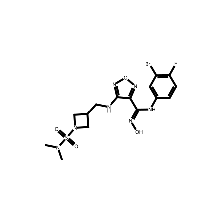 CN(C)S(=O)(=O)N1CC(CNc2nonc2/C(=N/O)Nc2ccc(F)c(Br)c2)C1